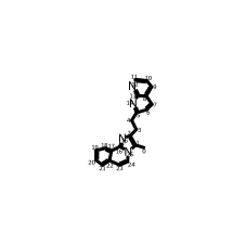 Cc1c(CCc2ccc3cccnc3n2)nc2c3ccccc3ccn12